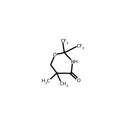 CC1(C)COC(C(F)(F)F)(C(F)(F)F)NC1=O